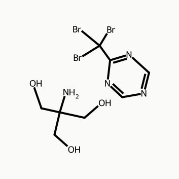 BrC(Br)(Br)c1ncncn1.NC(CO)(CO)CO